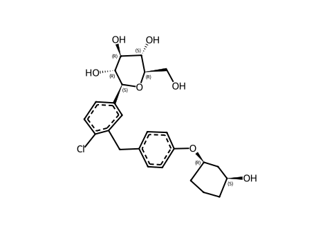 OC[C@H]1O[C@@H](c2ccc(Cl)c(Cc3ccc(O[C@@H]4CCC[C@H](O)C4)cc3)c2)[C@H](O)[C@@H](O)[C@@H]1O